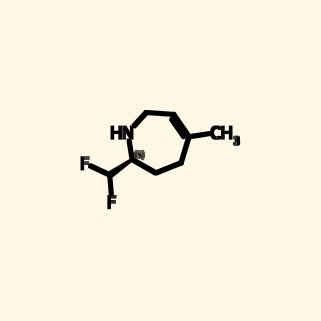 CC1=CCN[C@H](C(F)F)CC1